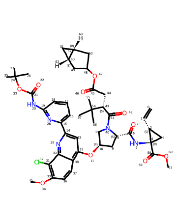 C=C[C@@H]1C[C@]1(NC(=O)[C@@H]1C[C@@H](Oc2cc(-c3cccc(NC(=O)OC(C)(C)C)n3)nc3c(Cl)c(OC)ccc23)CN1C(=O)[C@@H](CC(=O)OC1C[C@@H]2C[C@@H]2C1)C(C)(C)C)C(=O)OC